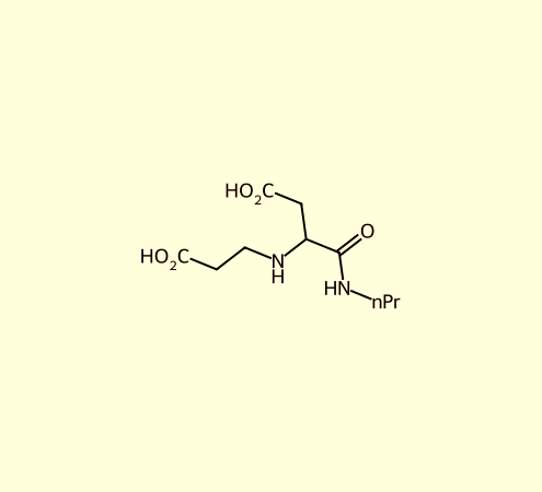 CCCNC(=O)C(CC(=O)O)NCCC(=O)O